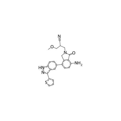 COCC(C#N)CN1Cc2c(-c3ccc4[nH]nc(-c5cccs5)c4c3)ccc(N)c2C1=O